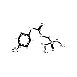 CCOP(=O)(COC(=O)Oc1ccc([N+](=O)[O-])cc1)OCC